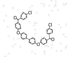 O=C(c1ccc(Cl)cc1)c1ccc(Oc2ccc(-c3ccc(Oc4ccc(C(=O)c5ccc(Cl)cc5)cc4)cc3)cc2)cc1